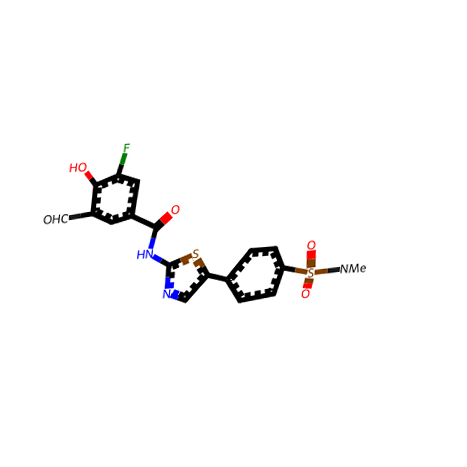 CNS(=O)(=O)c1ccc(-c2cnc(NC(=O)c3cc(F)c(O)c(C=O)c3)s2)cc1